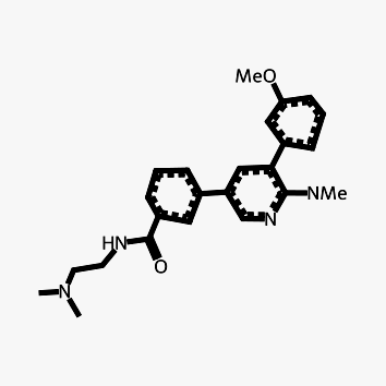 CNc1ncc(-c2cccc(C(=O)NCCN(C)C)c2)cc1-c1cccc(OC)c1